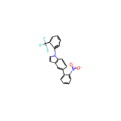 O=[N+]([O-])c1ccccc1-c1ccc2c(ccn2-c2ccccc2C(F)(F)F)c1